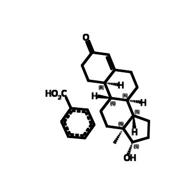 C[C@]12CC[C@H]3[C@@H](CCC4=CC(=O)CC[C@@H]43)[C@@H]1CC[C@@H]2O.O=C(O)c1ccccc1